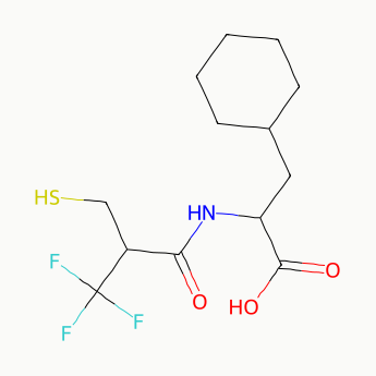 O=C(O)C(CC1CCCCC1)NC(=O)C(CS)C(F)(F)F